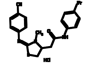 CC(C)c1ccc(NC(=O)CC2CSC(=Nc3ccc(C#N)cc3)N2C)cc1.Cl